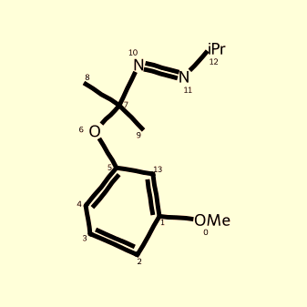 COc1cccc(OC(C)(C)N=NC(C)C)c1